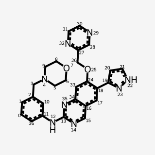 c1cc(CN2CCOCC2)cc(Nc2ncc3cc(-c4cc[nH]n4)c(OCc4cnccn4)cc3n2)c1